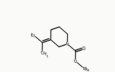 CC/C(C)=C1\CCCN(C(=O)OC(C)(C)C)C1